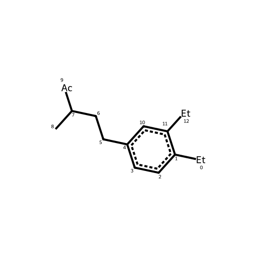 CCc1ccc(CCC(C)C(C)=O)cc1CC